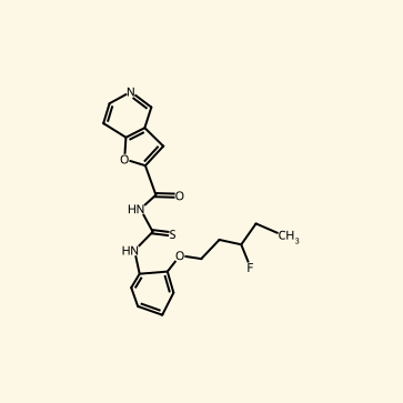 CCC(F)CCOc1ccccc1NC(=S)NC(=O)c1cc2cnccc2o1